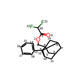 O=C(OCC12CC3CC(CC(C3)C1c1ccccc1)C2)C(F)F